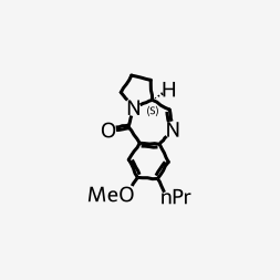 CCCc1cc2c(cc1OC)C(=O)N1CCC[C@H]1C=N2